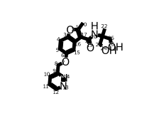 Cc1oc2ccc(OCc3cccnn3)cc2c1C(=O)NC(C)(CO)CO